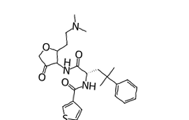 CN(C)CCC1OCC(=O)C1NC(=O)[C@H](CC(C)(C)c1ccccc1)NC(=O)c1ccsc1